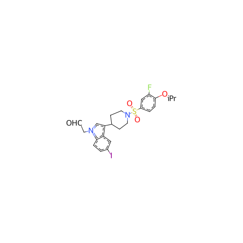 CC(C)Oc1ccc(S(=O)(=O)N2CCC(c3cn(CC=O)c4ccc(I)cc34)CC2)cc1F